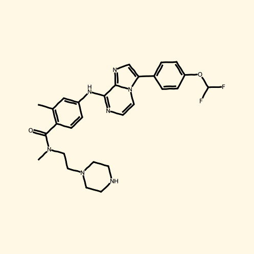 Cc1cc(Nc2nccn3c(-c4ccc(OC(F)F)cc4)cnc23)ccc1C(=O)N(C)CCN1CCNCC1